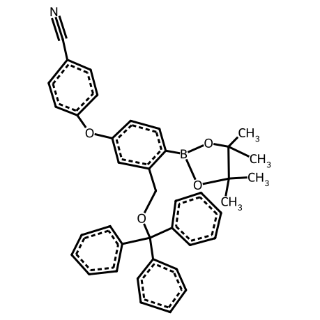 CC1(C)OB(c2ccc(Oc3ccc(C#N)cc3)cc2COC(c2ccccc2)(c2ccccc2)c2ccccc2)OC1(C)C